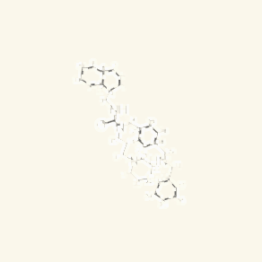 O=C(NCc1cccc2ccccc12)N(CCCN1CCOCC1)Cc1ccc(CNCc2ccccc2)cc1